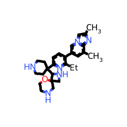 CCc1nc(C2(C3NCC34CNCCO4)CCNCC2)ccc1-c1cc(C)c2nc(C)cn2c1